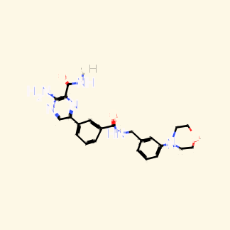 CNC(=O)c1nc(-c2cccc(C(=O)NCc3cccc(N4CCOCC4)c3)c2)cnc1N